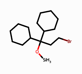 [SiH3]OC(CCBr)(C1CCCCC1)C1CCCCC1